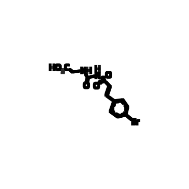 O=C(O)CNC(=O)NS(=O)(=O)C=Cc1ccc(Br)cc1